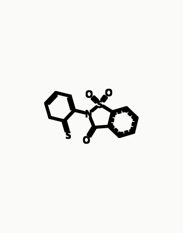 O=C1c2ccccc2S(=O)(=O)N1C1=CC=CCC1=S